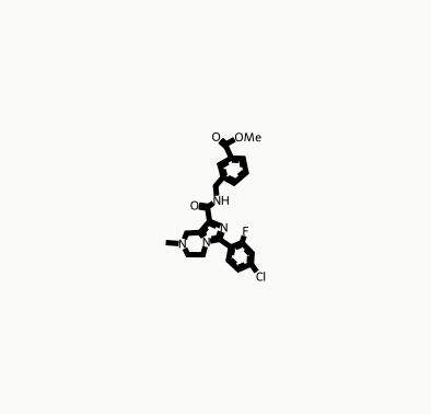 COC(=O)c1cccc(CNC(=O)c2nc(-c3ccc(Cl)cc3F)n3c2CN(C)CC3)c1